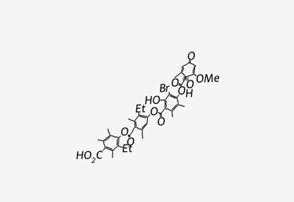 CCc1c(OC(=O)c2c(C)c(C)c(OC(=O)[C@@]3(O)C(C)=CC(=O)C=C3OC)c(Br)c2O)cc(C)c(C(=O)Oc2c(C)c(C)c(C(=O)O)c(C)c2CC)c1C